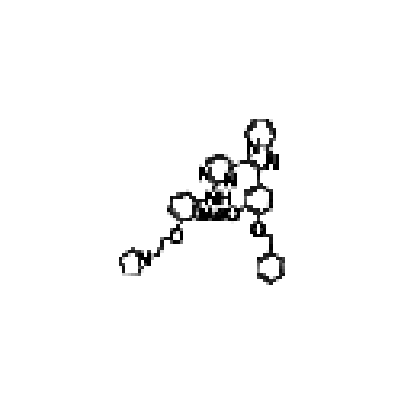 COc1cc(-c2nc3ccccn3c2-c2ccnc(Nc3cccc(OCCN4CCCC4)c3)n2)ccc1OCc1ccccc1